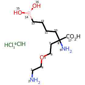 Cl.Cl.NCCOCCC(N)(CCCCB(O)O)C(=O)O